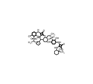 CN(C)S(=O)(=O)c1c(Cl)ccc(Nc2c(NC(C3CCCC3)C3CCCC(CN(C)S(=O)(=O)c4c(Cl)ccc(Nc5c(NC6CCCCC6(C)C)c(=O)c5=O)c4O)C3)c(=O)c2=O)c1O